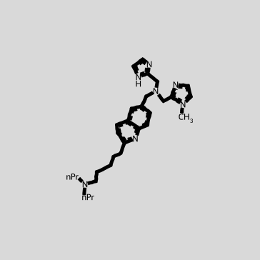 CCCN(CCC)CCCCCc1ccc2cc(CN(Cc3ncc[nH]3)Cc3nccn3C)ccc2n1